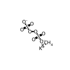 C.O=S(=O)([O-])OOS(=O)(=O)[O-].[K+].[K+]